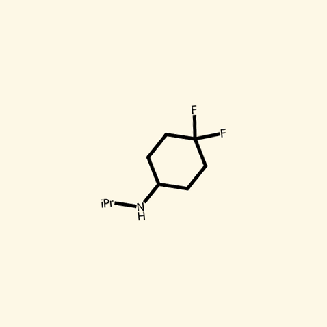 CC(C)NC1CCC(F)(F)CC1